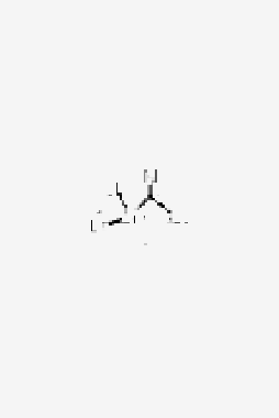 CCC(N)[Si](Cl)(Cl)CC